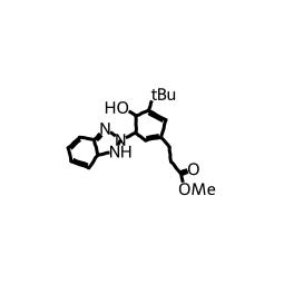 COC(=O)CCC1=CC(N2N=C3C=CC=CC3N2)C(O)C(C(C)(C)C)=C1